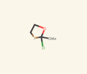 COC1(Cl)OCCS1